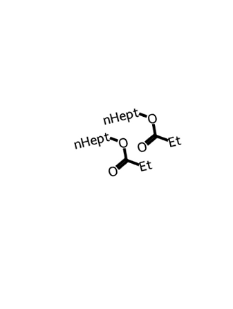 CCCCCCCOC(=O)CC.CCCCCCCOC(=O)CC